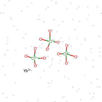 [O-][Cl+3]([O-])([O-])[O-].[O-][Cl+3]([O-])([O-])[O-].[O-][Cl+3]([O-])([O-])[O-].[Yb+3]